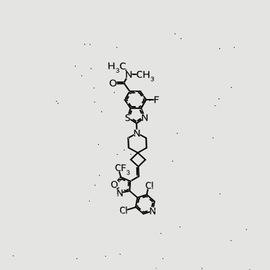 CN(C)C(=O)c1cc(F)c2nc(N3CCC4(CC3)CC(=Cc3c(-c5c(Cl)cncc5Cl)noc3C(F)(F)F)C4)sc2c1